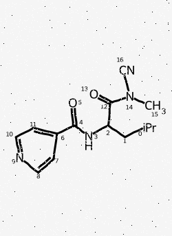 CC(C)CC(NC(=O)c1ccncc1)C(=O)N(C)C#N